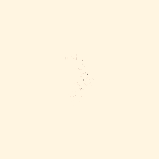 CC(CN(C)C)NC(=O)c1cn2c(C(=O)NCC34CC5CC(CC(C5)C3)C4)cccc2n1